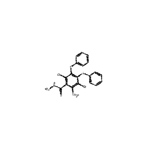 CCCCNC(=O)c1c(Cl)c(Sc2ccccc2)c(Sc2ccccc2)c(Cl)c1C(=O)O